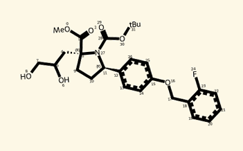 COC(=O)[C@]1(CC(O)CO)CC[C@H](c2ccc(OCc3ccccc3F)cc2)N1C(=O)OC(C)(C)C